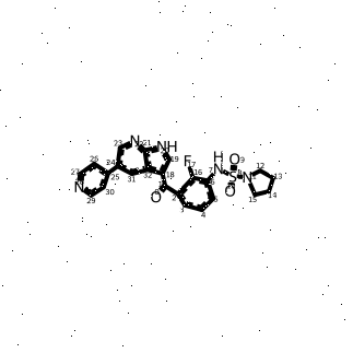 O=C(c1cccc(NS(=O)(=O)N2CCCC2)c1F)c1c[nH]c2ncc(-c3ccncc3)cc12